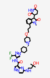 CN1C(=O)C(C2CCC(=O)NC2=O)c2cccc(CCCOC3CCN(C[C@H]4CC[C@H](n5cc(NC(=O)c6cnn7ccc(NCCC(C)(C)O)nc67)c(C(F)F)n5)CC4)CC3)c21